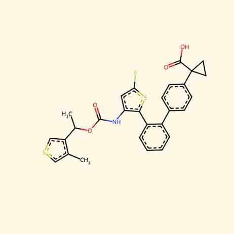 Cc1cscc1C(C)OC(=O)Nc1cc(F)sc1-c1ccccc1-c1ccc(C2(C(=O)O)CC2)cc1